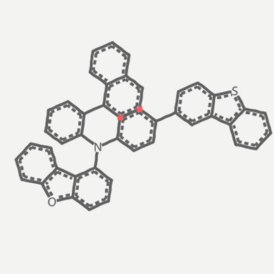 c1ccc(N(c2ccc(-c3ccc4sc5ccccc5c4c3)cc2)c2cccc3oc4ccccc4c23)c(-c2cccc3ccccc23)c1